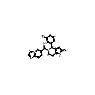 O=C(c1ccc2nccn2c1)N1CCc2sc(Cl)cc2C1c1cccc(F)c1